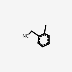 Cc1ccccc1[CH]C#N